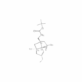 CCC1=C[C@@H]2[C@@H](C1)C[C@]2(CNC(=O)OC(C)(C)C)CC(=O)O